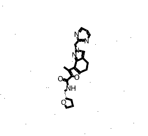 Cc1c(C(=O)NC[C@@H]2CCCO2)oc2c1-c1nn(Cc3ncccn3)cc1CC2